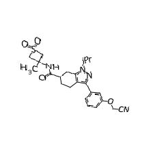 CC(C)n1nc(-c2cccc(OCC#N)c2)c2c1CC(C(=O)NC1(C)CS(=O)(=O)C1)CC2